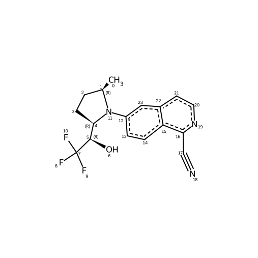 C[C@@H]1CC[C@H]([C@@H](O)C(F)(F)F)N1c1ccc2c(C#N)nccc2c1